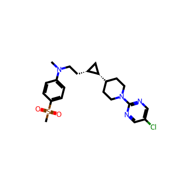 CN(CC[C@@H]1C[C@@H]1C1CCN(c2ncc(Cl)cn2)CC1)c1ccc(S(C)(=O)=O)cc1